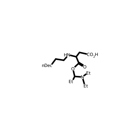 CCCCCCCCCCCCNC(CC(=O)O)C(=O)OC(CC)N(CC)CC